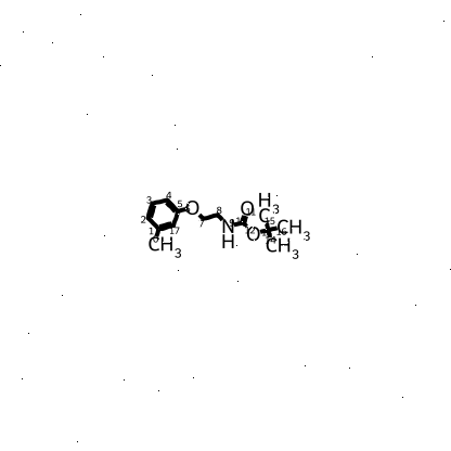 Cc1cccc(OCCNC(=O)OC(C)(C)C)c1